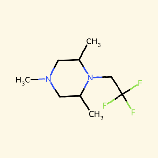 CC1CN(C)CC(C)N1CC(F)(F)F